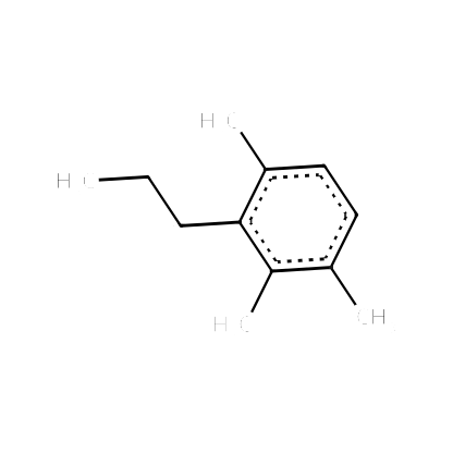 CC[CH]c1c(C)ccc(C)c1C